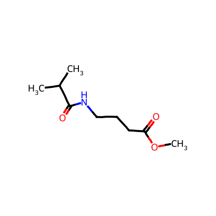 COC(=O)CCCNC(=O)C(C)C